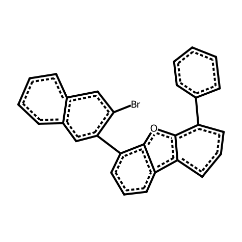 Brc1cc2ccccc2cc1-c1cccc2c1oc1c(-c3ccccc3)cccc12